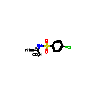 CCCCCC[C@H](NS(=O)(=O)c1ccc(Cl)cc1)C(=O)O